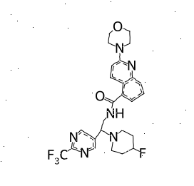 O=C(NCC(c1cnc(C(F)(F)F)nc1)N1CCC(F)CC1)c1cccc2nc(N3CCOCC3)ccc12